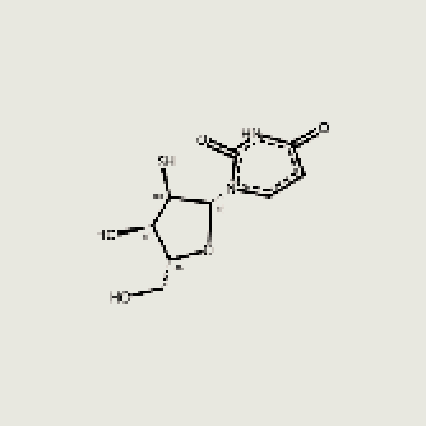 O=c1ccn([C@@H]2O[C@H](CO)[C@@H](O)[C@H]2S)c(=O)[nH]1